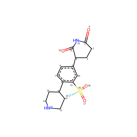 O=C1CCC(c2ccc(C3CCNCC3)c(S(=O)(=O)F)c2)C(=O)N1